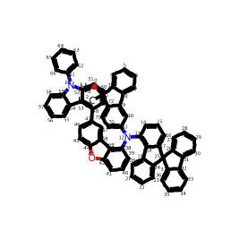 CC1(C)c2ccccc2-c2cc(N(c3cccc4c3-c3ccccc3C43c4ccccc4-c4ccccc43)c3cccc4oc5ccc(-c6cccc7c6c6ccccc6n7-c6ccccc6)cc5c34)ccc21